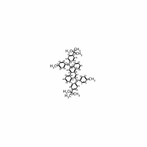 Cc1ccc(N(c2ccc(C(C)(C)C)cc2)c2cc3c4ccccc4c(N(c4ccc(C)cc4)c4ccc(C(C)(C)C)cc4)cc3c3ccccc23)cc1